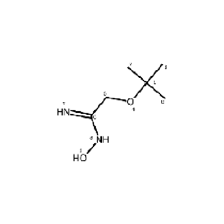 CC(C)(C)OCC(=N)NO